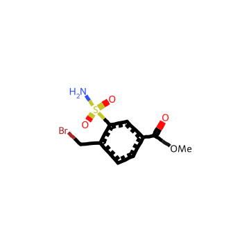 COC(=O)c1ccc(CBr)c(S(N)(=O)=O)c1